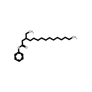 CCCCCCCCCCCCC(CC)CC(=O)Oc1ccccc1